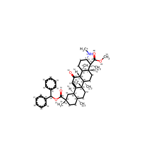 CN[C@H]1CC[C@@]2(C)[C@@H](CC[C@]3(C)[C@@H]2C(=O)C=C2[C@@H]4C[C@@](C)(C(=O)OC(c5ccccc5)c5ccccc5)CC[C@]4(C)CC[C@]23C)[C@]1(C)C(=O)OC